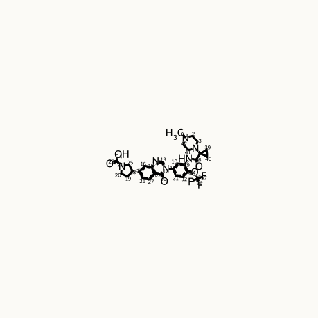 CN1CCN(C2(C(=O)Nc3cc(-n4cnc5cc([C@@H]6CCN(C(=O)O)C6)ccc5c4=O)ccc3OC(F)(F)F)CC2)CC1